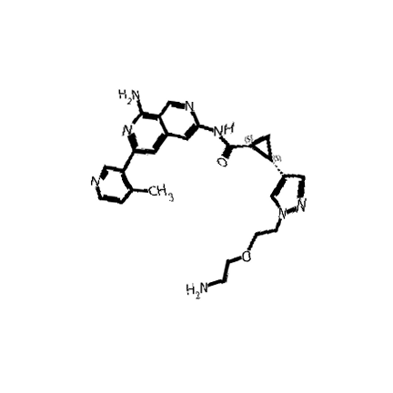 Cc1ccncc1-c1cc2cc(NC(=O)[C@H]3C[C@@H]3c3cnn(CCOCCN)c3)ncc2c(N)n1